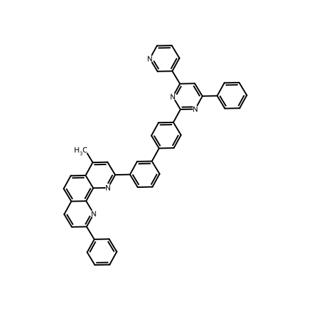 Cc1cc(-c2cccc(-c3ccc(-c4nc(-c5ccccc5)cc(-c5cccnc5)n4)cc3)c2)nc2c1ccc1ccc(-c3ccccc3)nc12